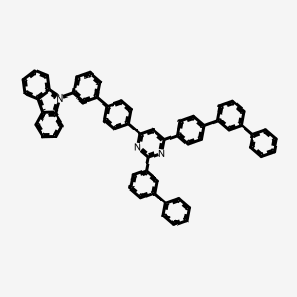 c1ccc(-c2cccc(-c3ccc(-c4cc(-c5ccc(-c6cccc(-n7c8ccccc8c8ccccc87)c6)cc5)nc(-c5cccc(-c6ccccc6)c5)n4)cc3)c2)cc1